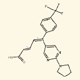 O=C(O)/C=C/C=C(/c1ccc(C(F)(F)F)cc1)c1cnc(N2CCCC2)nc1